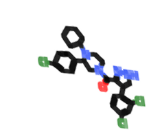 O=C(C1=NNCC1c1ccc(Cl)cc1Cl)N1CCN(C2CCCCC2)C(c2ccc(Cl)cc2)C1